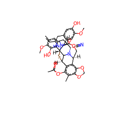 CCC1Cc2cc(O)c(OC)cc2[C@@]2(CS[C@@H]3c4c(OC(C)=O)c(C)c5c(c4[C@H](COC2=O)N2C3[C@@H]3c4c(cc(C)c(OC)c4O)C[C@H]([C@@H]2C#N)N3C)OCO5)N1